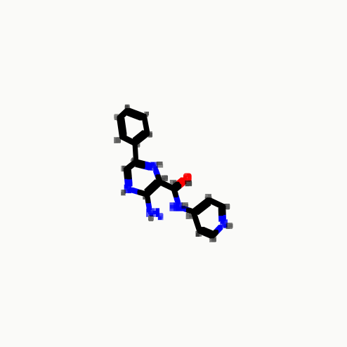 Nc1ncc(-c2ccccc2)nc1C(=O)Nc1ccncc1